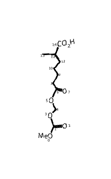 COC(=O)OCOC(=O)CCCCC(C)C(=O)O